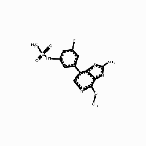 COc1ncc(-c2cc(F)cc(NS(C)(=O)=O)c2)c2sc(N)nc12